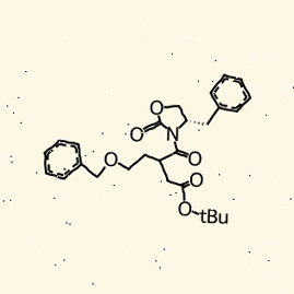 CC(C)(C)OC(=O)CC(CCOCc1ccccc1)C(=O)N1C(=O)OC[C@@H]1Cc1ccccc1